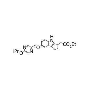 CCOC(=O)CC1CCc2c1[nH]c1ccc(OCc3cnc(OC(C)C)cn3)cc21